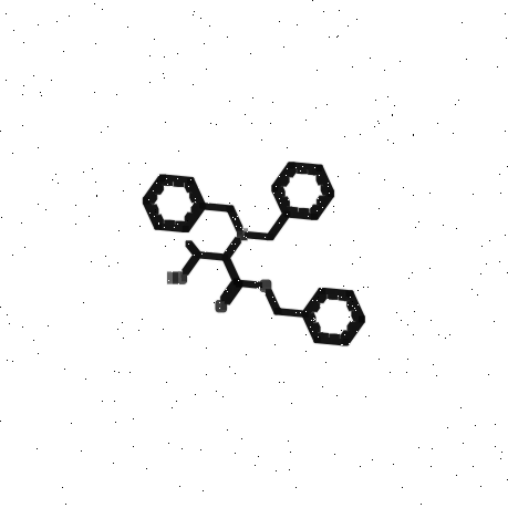 CC(O)C(C(=O)OCc1ccccc1)N(Cc1ccccc1)Cc1ccccc1